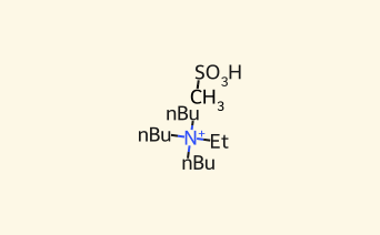 CCCC[N+](CC)(CCCC)CCCC.CS(=O)(=O)O